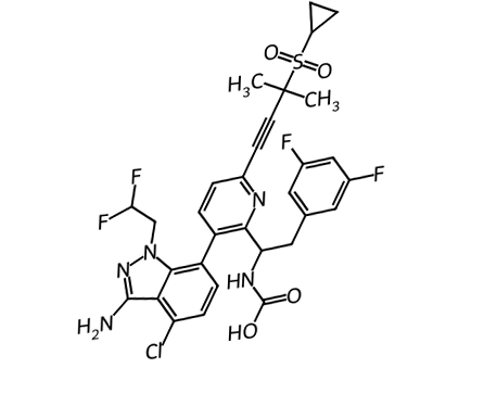 CC(C)(C#Cc1ccc(-c2ccc(Cl)c3c(N)nn(CC(F)F)c23)c(C(Cc2cc(F)cc(F)c2)NC(=O)O)n1)S(=O)(=O)C1CC1